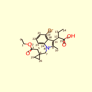 CCOC(=O)CC1(Cn2c(C)c(C(CC)C(=O)O)c3c(Br)cccc32)CC1